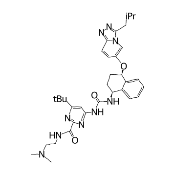 CC(C)Cc1nnc2ccc(O[C@@H]3CC[C@H](NC(=O)Nc4cc(C(C)(C)C)nc(C(=O)NCCN(C)C)n4)c4ccccc43)cn12